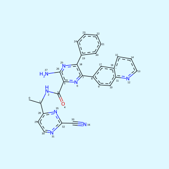 CC(NC(=O)c1nc(-c2ccc3ncccc3c2)c(-c2ccccc2)nc1N)c1ccnc(C#N)n1